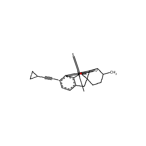 CC1CCC2(CC1)Cc1ccc(C#CC3CC3)cc1C21NC(=S)NC1=O